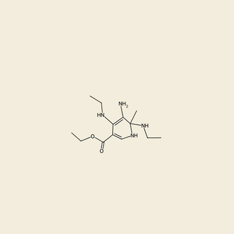 CCNC1=C(N)C(C)(NCC)NC=C1C(=O)OCC